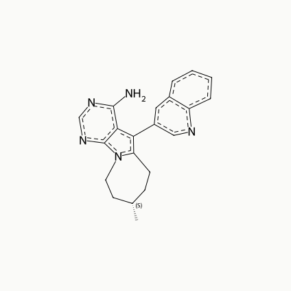 C[C@H]1CCc2c(-c3cnc4ccccc4c3)c3c(N)ncnc3n2CC1